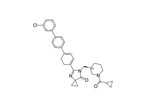 O=C(C1CC1)N1CCC[C@H](CN2C(=O)C3(CC3)N=C2C2=CC=C(c3ccc(-c4cccc(Cl)c4)cc3)CC2)C1